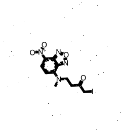 CN(CCC(=O)CI)c1ccc([N+](=O)[O-])c2nonc12